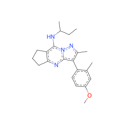 CCC(C)Nc1c2c(nc3c(-c4ccc(OC)cc4C)c(C)nn13)CCC2